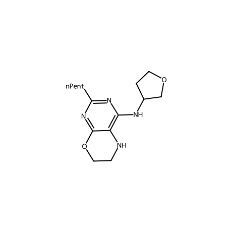 CCCCCc1nc(NC2CCOC2)c2c(n1)OCCN2